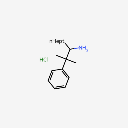 CCCCCCCC(N)C(C)(C)c1ccccc1.Cl